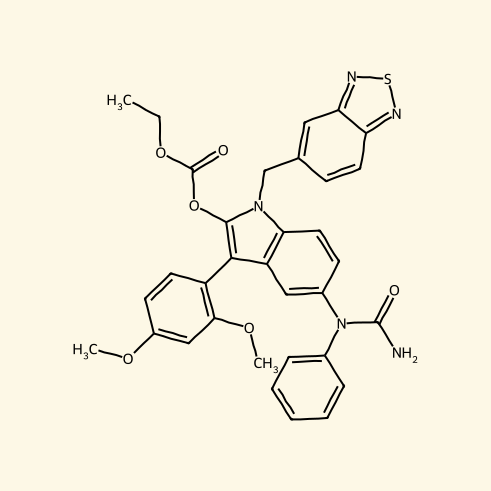 CCOC(=O)Oc1c(-c2ccc(OC)cc2OC)c2cc(N(C(N)=O)c3ccccc3)ccc2n1Cc1ccc2nsnc2c1